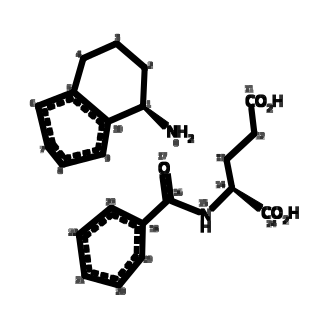 N[C@@H]1CCCc2ccccc21.O=C(O)CC[C@H](NC(=O)c1ccccc1)C(=O)O